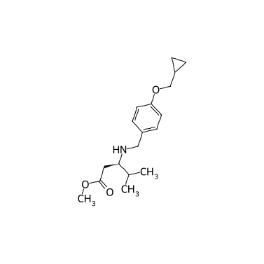 COC(=O)C[C@@H](NCc1ccc(OCC2CC2)cc1)C(C)C